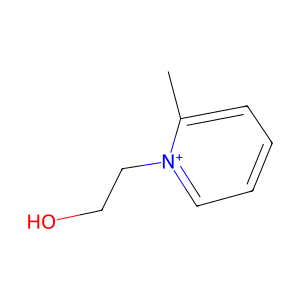 Cc1cccc[n+]1CCO